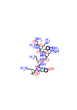 CC(C)(C)C(=O)[C@H](CCCCN)NC(=O)[C@H](Cc1ccc(O)cc1)NC(=O)[C@H](CCCCN)NC(=O)CNC(=O)[C@H](CCCNC(=N)N)NC(=O)[C@H](Cc1ccccc1)NC(=O)[C@H](CCCCN)NC(=O)[C@@H](N)CC(N)=O